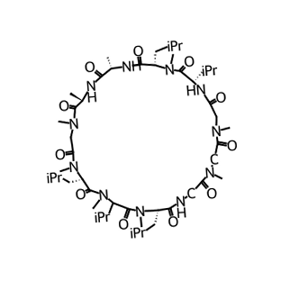 CC(C)C[C@H]1C(=O)N(C)C(C(C)C)C(=O)N(C)[C@@H](CC(C)C)C(=O)NCC(=O)N(C)CC(=O)N(C)CC(=O)N[C@@H](C(C)C)C(=O)N(C)[C@@H](CC(C)C)C(=O)N[C@@H](C)C(=O)N[C@H](C)C(=O)N(C)CC(=O)N1C